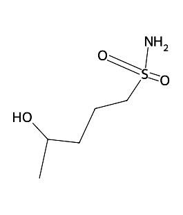 CC(O)CCCS(N)(=O)=O